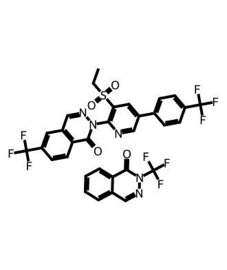 CCS(=O)(=O)c1cc(-c2ccc(C(F)(F)F)cc2)cnc1-n1ncc2cc(C(F)(F)F)ccc2c1=O.O=c1c2ccccc2cnn1C(F)(F)F